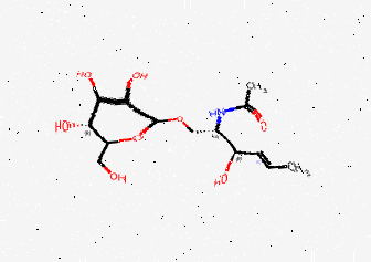 C/C=C/[C@@H](O)[C@H](COC1OC(CO)[C@H](O)C(O)C1O)NC(C)=O